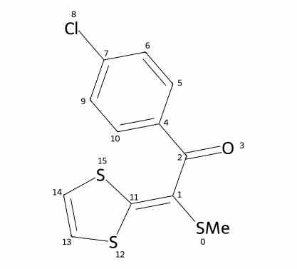 CSC(C(=O)c1ccc(Cl)cc1)=C1SC=CS1